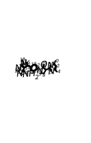 Cc1cc(C)nc(C2CCN(c3ccc(-c4cn(C)c5ncnc(N)c45)cc3)C2=O)n1